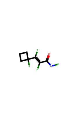 O=C([N]F)C(F)=C(F)C1(F)CCC1